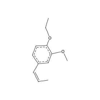 C/C=C\c1ccc(OCC)c(OC)c1